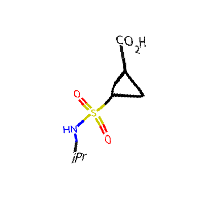 CC(C)NS(=O)(=O)C1CC1C(=O)O